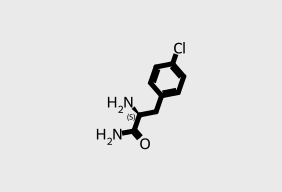 NC(=O)[C@@H](N)Cc1ccc(Cl)cc1